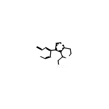 C=C/C=C(\C=C/C)c1csc2c1C(CNC)OCC2